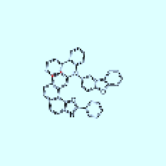 c1ccc(-c2nc3ccc4ccc5ccc(N(c6ccc7oc8ccccc8c7c6)c6ccccc6-c6ccccc6)cc5c4c3o2)cc1